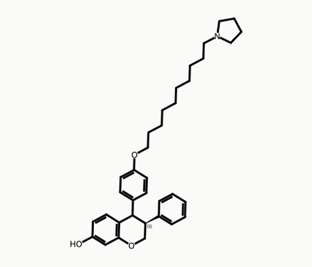 Oc1ccc2c(c1)OC[C@H](c1ccccc1)C2c1ccc(OCCCCCCCCCCN2CCCC2)cc1